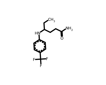 CCC(CCC(N)=O)Nc1ccc(C(F)(F)F)cc1